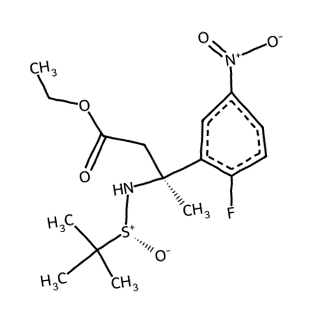 CCOC(=O)C[C@](C)(N[S@+]([O-])C(C)(C)C)c1cc([N+](=O)[O-])ccc1F